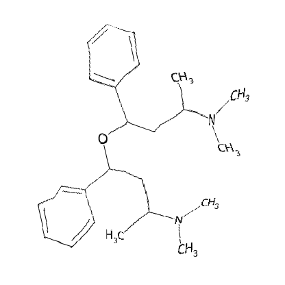 CC(CC(OC(CC(C)N(C)C)c1ccccc1)c1ccccc1)N(C)C